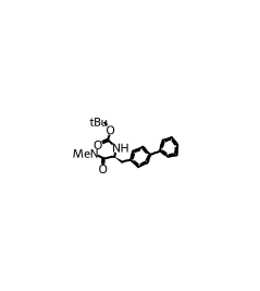 CNC(=O)[C@H](Cc1ccc(-c2ccccc2)cc1)NC(=O)OC(C)(C)C